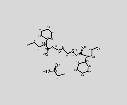 CCC(=O)O.CCCN(C(=S)SSCCSSC(=S)N(CCC)C1CCCCC1)C1CCCCC1